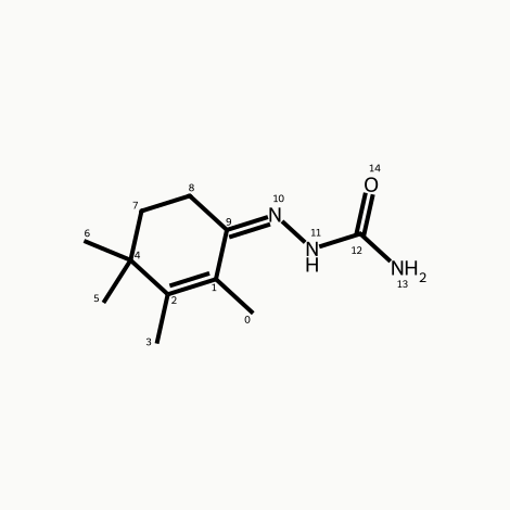 CC1=C(C)C(C)(C)CC/C1=N/NC(N)=O